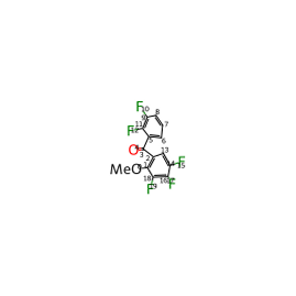 COc1c(C(=O)c2cccc(F)c2F)cc(F)c(F)c1F